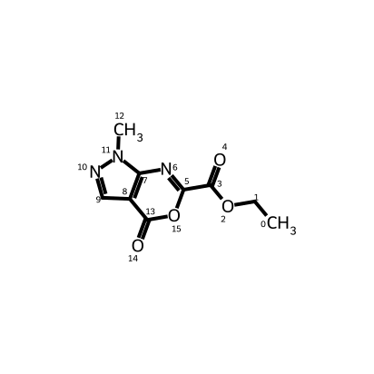 CCOC(=O)c1nc2c(cnn2C)c(=O)o1